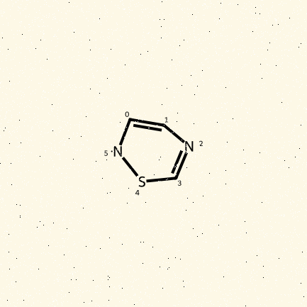 C1=CN=CS[N]1